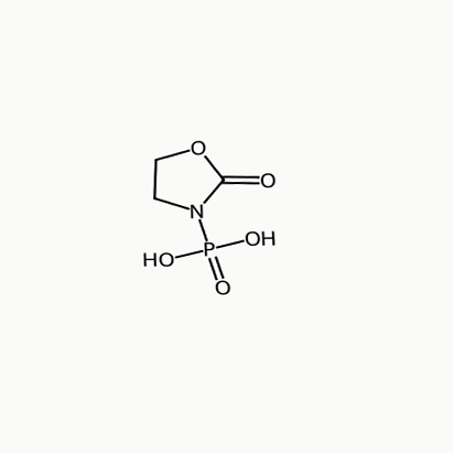 O=C1OCCN1P(=O)(O)O